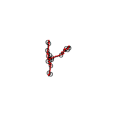 C=CC(=O)OCCCCCCOc1ccc(C(=O)Oc2ccc(OC(=O)c3ccc(OCCCCCCOC(=O)C=C)cc3)c(C(=O)OCCCCCCCCOc3ccc(-c4ccc(OC(=O)c5ccco5)cc4)cc3)c2)cc1